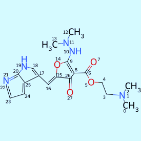 CN(C)CCOC(=O)C1=C(NN(C)C)OC(=Cc2c[nH]c3ncccc23)C1=O